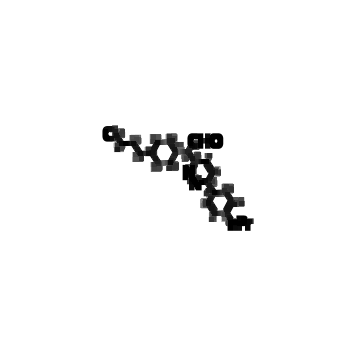 CCCc1ccc(-c2ccc(C(C=O)C3CCC(CCCCl)CC3)nn2)cc1